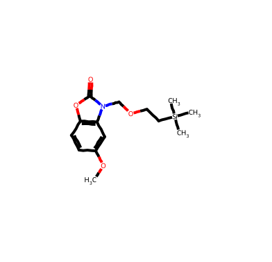 COc1ccc2oc(=O)n(COCC[Si](C)(C)C)c2c1